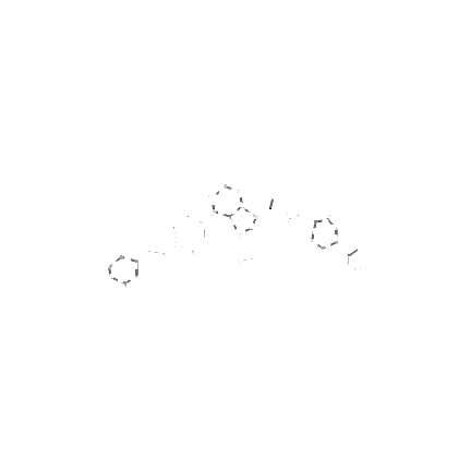 COC(=O)c1ccc(CNC(=O)c2c3n(c4c(N5CCN(CCc6ccccc6)CC5)ncnc24)CCCC3)cc1